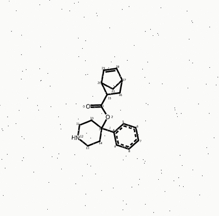 O=C(OC1(c2ccccc2)CCNCC1)C1CC2C=CC1C2